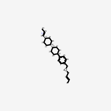 CC=CCOCc1ccc(C2CCC([C@H]3CC[C@H](/C=C/C)CC3)CC2)cc1